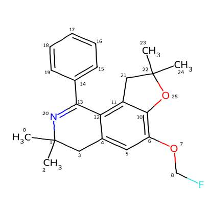 CC1(C)Cc2cc(OCF)c3c(c2C(c2ccccc2)=N1)CC(C)(C)O3